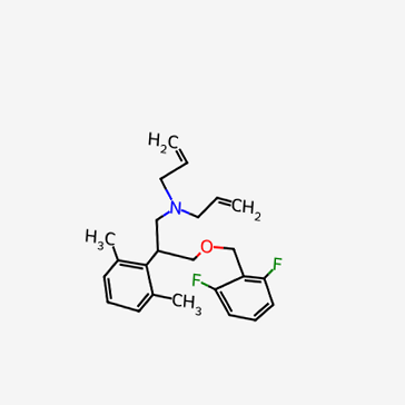 C=CCN(CC=C)CC(COCc1c(F)cccc1F)c1c(C)cccc1C